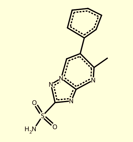 Cc1nc2nc(S(N)(=O)=O)nn2cc1-c1ccccc1